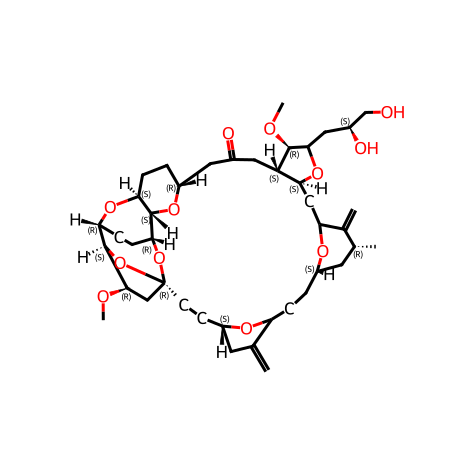 C=C1C[C@@H]2CC[C@]34C[C@@H](OC)[C@H](O3)[C@H]3CC[C@@H](O4)[C@H]4O[C@H](CC[C@@H]4O3)CC(=O)C[C@H]3[C@H](CC4O[C@@H](CCC1O2)C[C@@H](C)C4=C)OC(C[C@H](O)CO)[C@@H]3OC